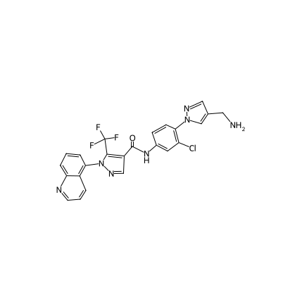 NCc1cnn(-c2ccc(NC(=O)c3cnn(-c4cccc5ncccc45)c3C(F)(F)F)cc2Cl)c1